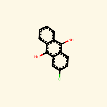 Oc1c2ccccc2c(O)c2cc(Cl)ccc12